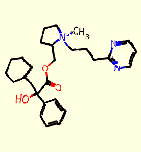 C[N+]1(CCCc2ncccn2)CCCC1COC(=O)C(O)(c1ccccc1)C1CCCCC1